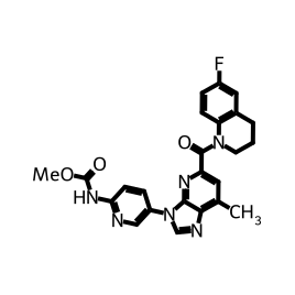 COC(=O)Nc1ccc(-n2cnc3c(C)cc(C(=O)N4CCCc5cc(F)ccc54)nc32)cn1